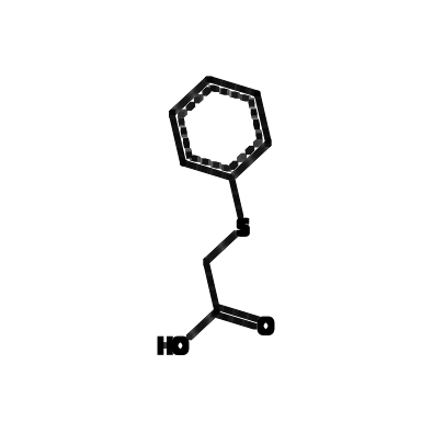 O=C(O)CSc1ccccc1